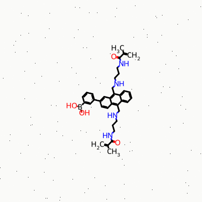 C=C(C)C(=O)NCCCNCc1c2ccccc2c(CNCCCNC(=O)C(=C)C)c2cc(-c3cccc(B(O)O)c3)ccc12